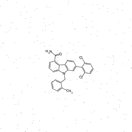 Cc1ccccc1Cn1c2cc(-c3c(Cl)cccc3Cl)c[c]c2c2c(C(N)=O)cccc21